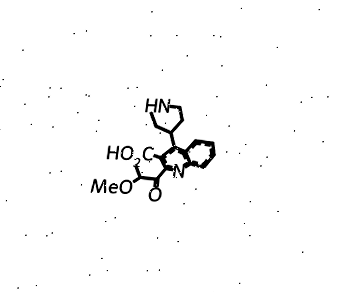 COC(C)C(=O)c1nc2ccccc2c(C2CCNCC2)c1C(=O)O